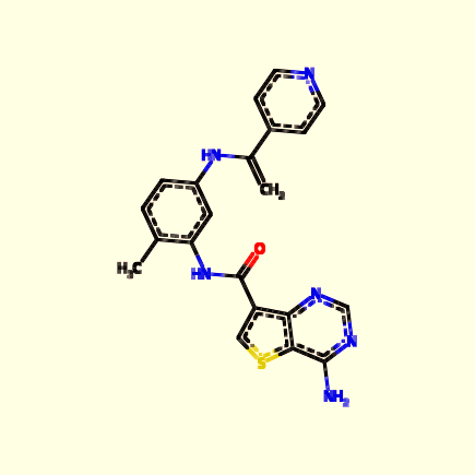 C=C(Nc1ccc(C)c(NC(=O)c2csc3c(N)ncnc23)c1)c1ccncc1